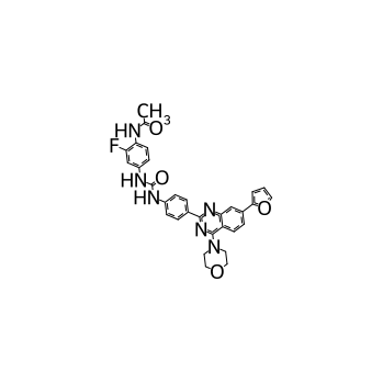 CC(=O)Nc1ccc(NC(=O)Nc2ccc(-c3nc(N4CCOCC4)c4ccc(-c5ccco5)cc4n3)cc2)cc1F